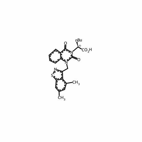 CCCC[C@@H](C(=O)O)n1c(=O)c2ccccc2n(Cc2nsc3cc(C)cc(C)c23)c1=O